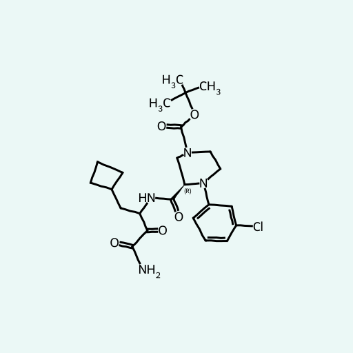 CC(C)(C)OC(=O)N1CCN(c2cccc(Cl)c2)[C@@H](C(=O)NC(CC2CCC2)C(=O)C(N)=O)C1